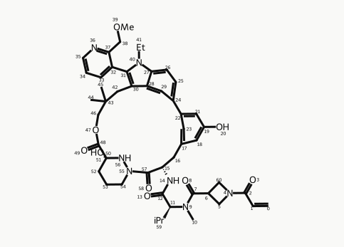 C=CC(=O)N1CC(C(=O)N(C)[C@H](C(=O)N[C@H]2Cc3cc(O)cc(c3)-c3ccc4c(c3)c(c(-c3cccnc3COC)n4CC)CC(C)(C)COC(=O)[C@@]3(O)CCCN(N3)C2=O)C(C)C)C1